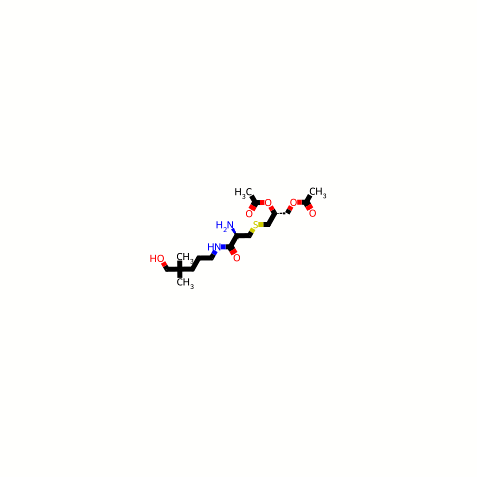 CC(=O)OC[C@H](CSC[C@H](N)C(=O)NCCCC(C)(C)CO)OC(C)=O